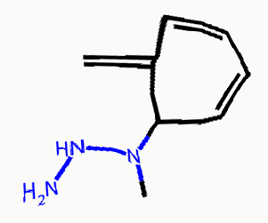 C=C1C=CC=CC1N(C)NN